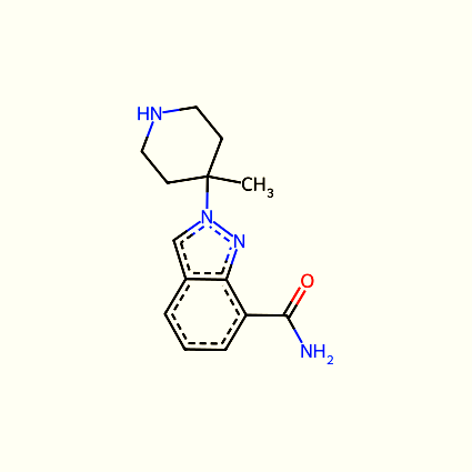 CC1(n2cc3cccc(C(N)=O)c3n2)CCNCC1